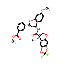 COC(=O)c1cccc([C@H]2C[C@@H](NC(=O)[C@]3(C)COc4cc5c(cc43)OC(F)(F)O5)c3ccc(OC)cc3O2)c1